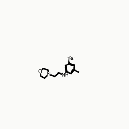 Cc1cc(NCCN2CCOCC2)cc(C(C)(C)C)c1